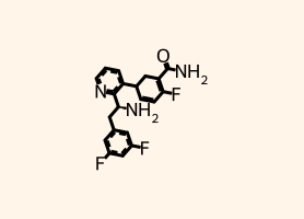 NC(=O)C1=C(F)C=CC(c2cccnc2[C@@H](N)Cc2cc(F)cc(F)c2)C1